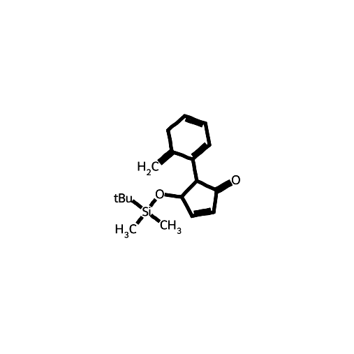 C=C1CC=CC=C1C1C(=O)C=CC1O[Si](C)(C)C(C)(C)C